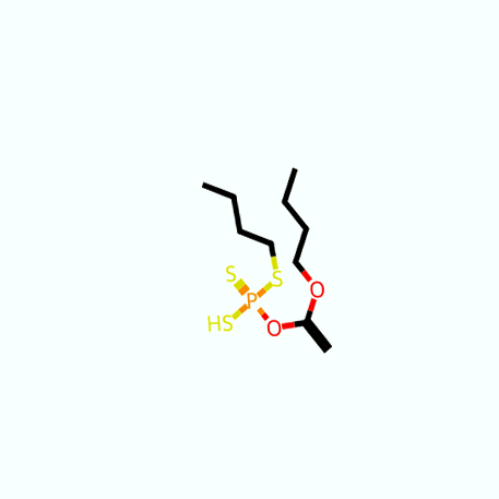 C=C(OCCCC)OP(=S)(S)SCCCC